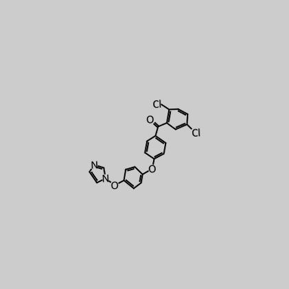 O=C(c1ccc(Oc2ccc(On3ccnc3)cc2)cc1)c1cc(Cl)ccc1Cl